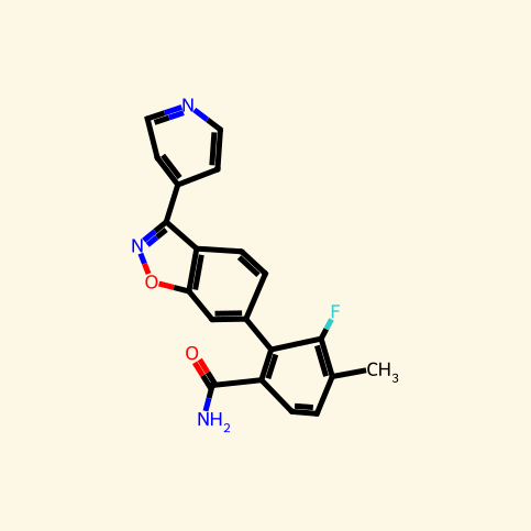 Cc1ccc(C(N)=O)c(-c2ccc3c(-c4ccncc4)noc3c2)c1F